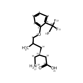 CC(COc1ccccc1C(F)(F)F)C[C@H](CN)CC(=O)O